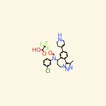 Cc1nnn2c1-c1ccc(C3=CCNCC3)cc1C(N(C=O)c1cccc(Cl)c1)CC2.O=C(O)C(F)(F)F